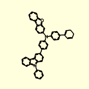 C1=CC(c2ccc(N(c3ccc(-c4ccc5c(c4)c4ccccc4n5-c4ccccc4)cc3)c3ccc4c(c3)oc3ccccc34)cc2)=CCC1